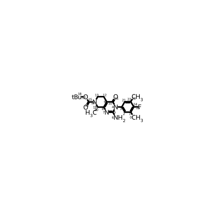 Cc1cc(-n2c(N)nc3c(c2=O)CCN(C(=O)OC(C)(C)C)[C@H]3C)cc(C)c1F